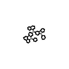 c1ccc(N2c3cc(N(c4ccc5c(c4)c4ccccc4n5-c4ccccc4)c4cccc5ccccc45)ccc3-c3cccc4cccc2c34)cc1